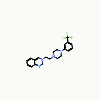 FC(F)(F)c1cccc(N2CCN(CCN3C=c4ccccc4=NC3)CC2)c1